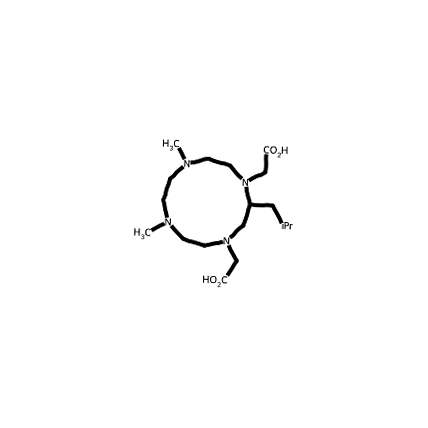 CC(C)CC1CN(CC(=O)O)CCN(C)CCN(C)CCN1CC(=O)O